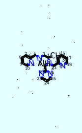 CC(C[N]([AlH2])Cc1ccccn1)N(Cc1ccccn1)Cc1ncccn1